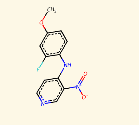 COc1ccc(Nc2ccncc2[N+](=O)[O-])c(F)c1